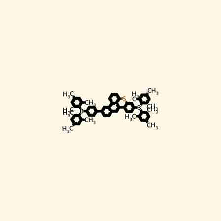 Cc1cc(C)c(B(c2ccc(-c3ccc4cc5c6c(cccc6c4c3)Sc3cc(B(c4c(C)cc(C)cc4C)c4c(C)cc(C)cc4C)ccc3-5)cc2)c2c(C)cc(C)cc2C)c(C)c1